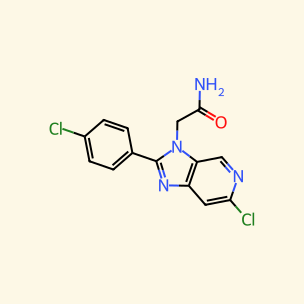 NC(=O)Cn1c(-c2ccc(Cl)cc2)nc2cc(Cl)ncc21